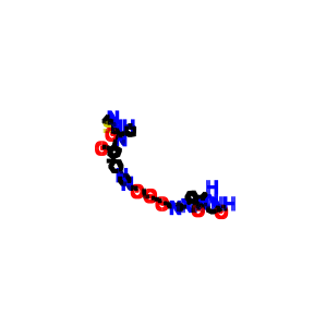 C=C1c2cccc(NC3CN(CCOCCOCCOCCN4CCN(C5C=CC(C)(c6ccc(CN(C)C(C(=O)Nc7nccs7)c7ccccc7)c(C=O)c6)CC5)CC4)C3)c2C(=O)N1C1CCC(=O)NN1